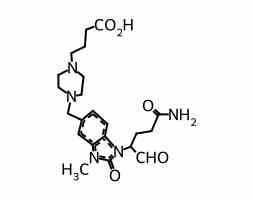 Cn1c(=O)n(C(C=O)CCC(N)=O)c2ccc(CN3CCN(CCCC(=O)O)CC3)cc21